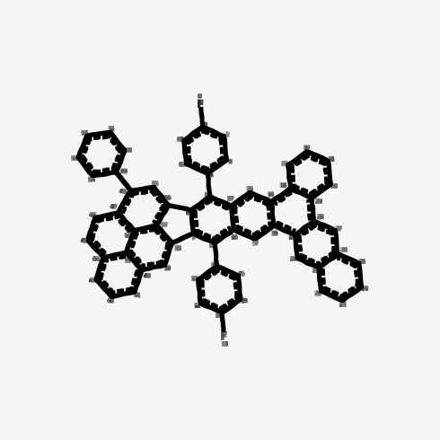 Fc1ccc(-c2c3c(c(-c4ccc(F)cc4)c4cc5c6cc7ccccc7cc6c6ccccc6c5cc24)-c2cc4cccc5ccc6c(-c7ccccc7)cc-3c2c6c54)cc1